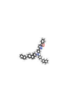 c1ccc2cc(-c3ccc(N(c4ccc(-c5ccc6c(n5)oc5ccccc56)cc4)c4ccc5c(ccc6cc(-c7ccc8ccccc8c7)ccc65)c4)cc3)ccc2c1